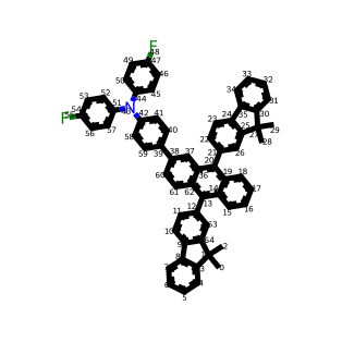 CC1(C)c2ccccc2-c2ccc(-c3c4ccccc4c(-c4ccc5c(c4)C(C)(C)c4ccccc4-5)c4cc(-c5ccc(N(c6ccc(F)cc6)c6ccc(F)cc6)cc5)ccc34)cc21